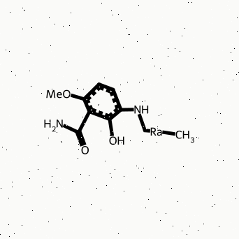 COc1ccc(N[CH2][Ra][CH3])c(O)c1C(N)=O